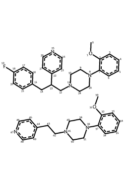 COc1ccccc1N1CCN(CC(Cc2ccc(F)cc2)c2ccncc2)CC1.COc1ccccc1N1CCN(CCc2ccncc2)CC1